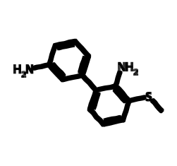 CSc1cccc(-c2cccc(N)c2)c1N